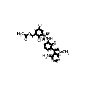 CC(=O)OCc1cc(Cl)cc(S(=O)(=O)Nc2cccc(-c3cn(C)c4ncnc(N)c34)c2F)c1Cl